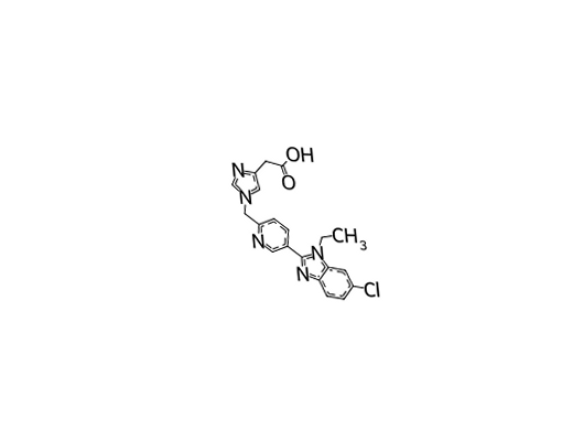 CCn1c(-c2ccc(Cn3cnc(CC(=O)O)c3)nc2)nc2ccc(Cl)cc21